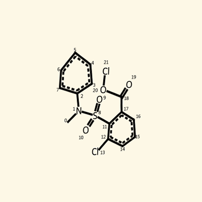 CN(c1ccccc1)S(=O)(=O)c1c(Cl)cccc1C(=O)OCl